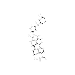 Cc1cccc(S(=O)(=O)c2cccc(N3C(=O)c4ccc5c6ccc7c8c(ccc(c9ccc(c4c59)C3=O)c86)C(=O)NC7=O)c2)c1